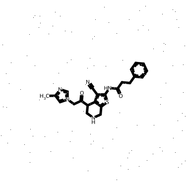 Cc1cn(CC(=O)C2CNCc3sc(NC(=O)CCc4ccccc4)c(C#N)c32)cn1